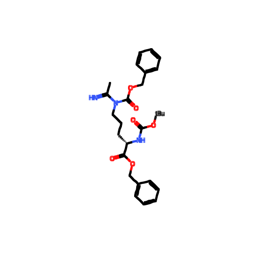 CC(=N)N(CCC[C@H](NC(=O)OC(C)(C)C)C(=O)OCc1ccccc1)C(=O)OCc1ccccc1